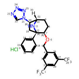 Cl.FC(F)(F)c1cc(CO[C@@H]2CC[C@@H]3N[C@@]2(c2ccccc2)C[C@H]3n2cnnn2)cc(C(F)(F)F)c1